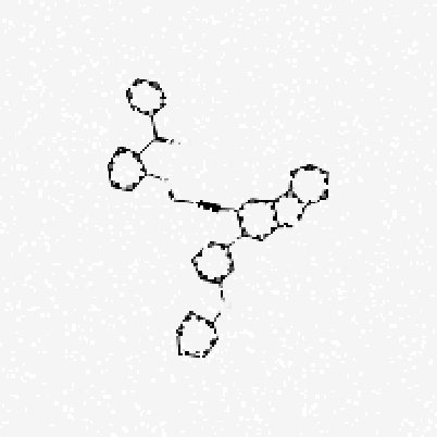 N=C(c1ccccc1)c1ccccc1/N=C/C#Cc1cc2c(cc1-c1cccc([SiH2]c3ccccc3)c1)oc1ccccc12